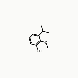 COc1c(O)cccc1C(C)C